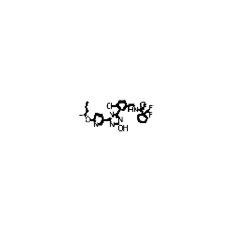 CCC[C@@H](C)Oc1ccc(-c2nc(O)nc(-c3cc(CNC(=O)C4(C(F)(F)F)CCCC4)ccc3Cl)n2)cn1